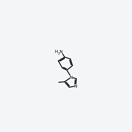 Cc1cncn1-c1ccc(N)cc1